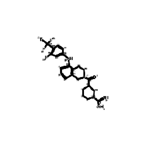 N=C(N)N1CCCC(C(=O)N2CCc3c(cccc3Nc3ccc(C(F)(F)F)c(F)c3)C2)C1